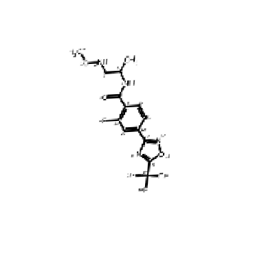 CONCC(C)NC(=O)c1ccc(-c2noc(C(F)(F)F)n2)cc1F